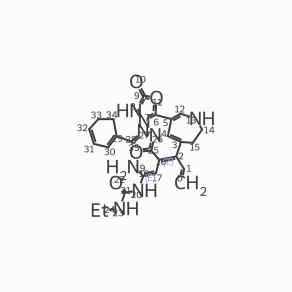 C=C/C(C1=CC(c2n[nH]c(=O)o2)=CNCC1)=C(\C=C(/N)NC(=O)NCC)c1nnc(C2=CC=CCC2)o1